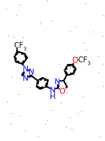 FC(F)(F)Oc1ccc(C2COC(Nc3ccc(-c4ncn(-c5ccc(C(F)(F)F)cc5)n4)cc3)=N2)cc1